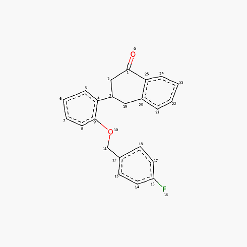 O=C1CC(c2ccccc2OCc2ccc(F)cc2)Cc2ccccc21